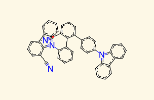 N#Cc1cccc(-c2ccc(-n3c4ccccc4c4ccccc43)cc2)c1-c1ccccc1-n1c2ccccc2c2cccc(C#N)c21